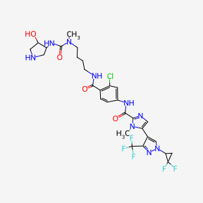 CN(CCCCNC(=O)c1ccc(NC(=O)c2ncc(-c3cn(C4CC4(F)F)nc3C(F)(F)F)n2C)cc1Cl)C(=O)NC1CNCC1O